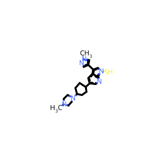 CN1CCN(C2CCC(c3cnc4c(c3)c(-c3cnn(C)c3)cn4S)CC2)CC1